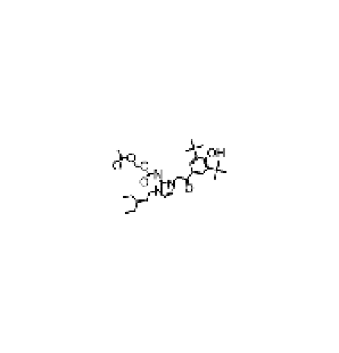 CCC(=CCn1ccn(CC(=O)c2cc(C(C)(C)C)c(O)c(C(C)(C)C)c2)/c1=N/C(=O)OCOC(C)=O)CC